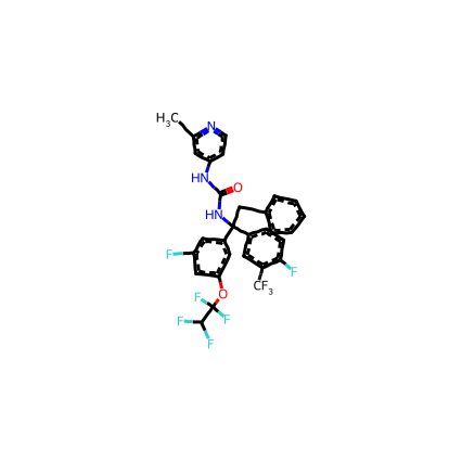 Cc1cc(NC(=O)NC(Cc2ccccc2)(c2cc(F)cc(OC(F)(F)C(F)F)c2)c2ccc(F)c(C(F)(F)F)c2)ccn1